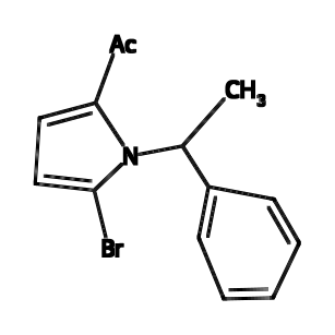 CC(=O)c1ccc(Br)n1C(C)c1ccccc1